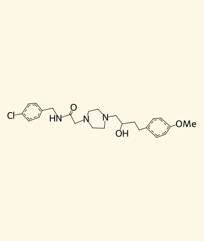 COc1ccc(CCC(O)CN2CCN(CC(=O)NCc3ccc(Cl)cc3)CC2)cc1